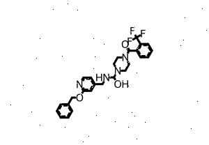 O=C(c1ccccc1C(F)(F)F)N1CCN(C(O)NCc2ccnc(OCc3ccccc3)c2)CC1